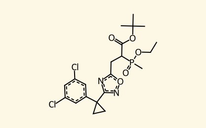 CCOP(C)(=O)C(Cc1nc(C2(c3cc(Cl)cc(Cl)c3)CC2)no1)C(=O)OC(C)(C)C